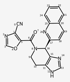 N#Cc1ncoc1C(=O)N1CCc2[nH]cnc2[C@@H]1c1ccc2ccccc2n1